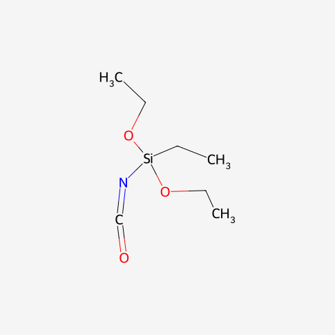 CCO[Si](CC)(N=C=O)OCC